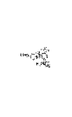 Cn1cncc1-c1nc2c(c(C(=O)N[C@H]3CC[C@H](O)CC3)n1)CCC2